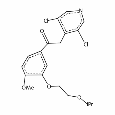 COc1ccc(C(=O)Cc2c(Cl)cncc2Cl)cc1OCCOC(C)C